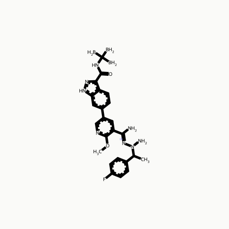 BC(B)(B)NC(=O)c1n[nH]c2cc(-c3cnc(OC)c(/C(N)=N/N(N)C(C)c4ccc(F)cc4)c3)ccc12